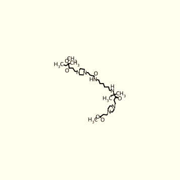 CCC(C)(NCCCCCCNC(=O)CCN1CCN(CCC(=O)C(C)(CC)OC)CC1)C(=O)CCN1CCN(CCC(=O)OC)CC1